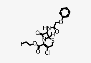 O=C(COc1ccccc1)NC1C(=O)N2C(C(=O)OCCI)=C(Cl)CS[C@@H]12